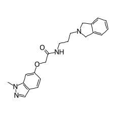 Cn1ncc2ccc(OCC(=O)NCCCN3Cc4ccccc4C3)cc21